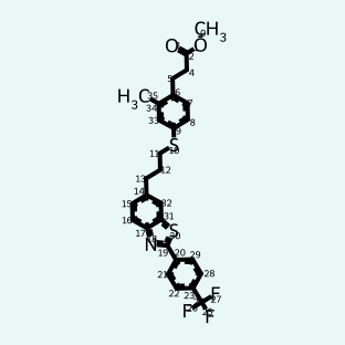 COC(=O)CCc1ccc(SCCCc2ccc3nc(-c4ccc(C(F)(F)F)cc4)sc3c2)cc1C